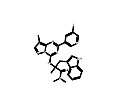 Cc1cnn2c(NC(C)(Cc3c[nH]c4ccccc34)C(=O)N(C)C)nc(-c3cncc(F)c3)nc12